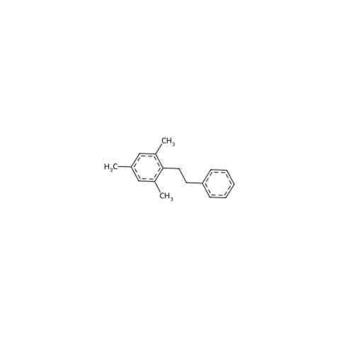 Cc1cc(C)c([CH]Cc2ccccc2)c(C)c1